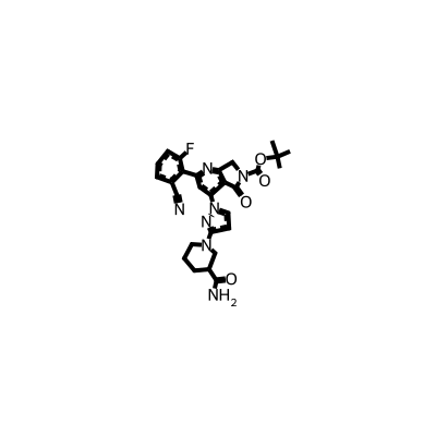 CC(C)(C)OC(=O)N1Cc2nc(-c3c(F)cccc3C#N)cc(-n3ccc(N4CCCC(C(N)=O)C4)n3)c2C1=O